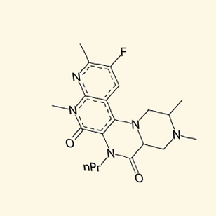 CCCN1C(=O)C2CN(C)C(C)CN2c2c1c(=O)n(C)c1nc(C)c(F)cc21